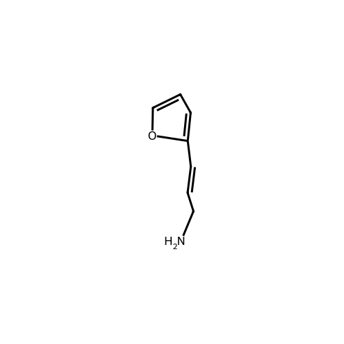 NCC=Cc1ccco1